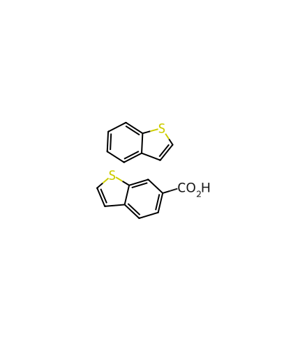 O=C(O)c1ccc2ccsc2c1.c1ccc2sccc2c1